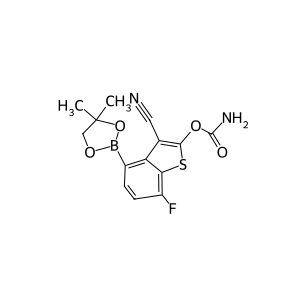 CC1(C)COB(c2ccc(F)c3sc(OC(N)=O)c(C#N)c23)O1